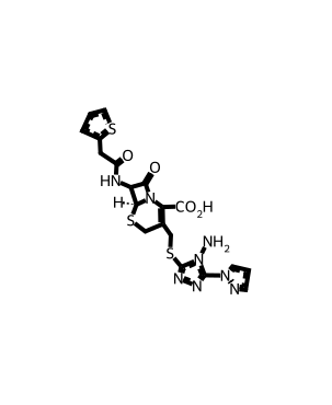 Nn1c(SCC2=C(C(=O)O)N3C(=O)C(NC(=O)Cc4cccs4)[C@@H]3SC2)nnc1-n1cccn1